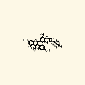 [2H]c1cc(C2Oc3cc(O)cc([2H])c3C(C([2H])([2H])[2H])=C2c2ccc(O)cc2)cc([2H])c1OC1CN(C([2H])([2H])C([2H])([2H])C([2H])([2H])[2H])C1